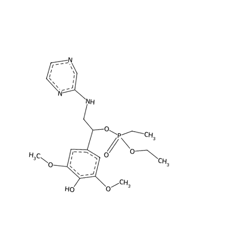 CCOP(=O)(CC)OC(CNc1cnccn1)c1cc(OC)c(O)c(OC)c1